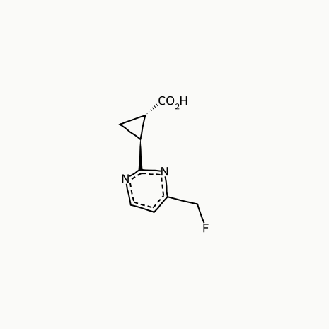 O=C(O)[C@H]1C[C@@H]1c1nccc(CF)n1